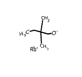 CC(C)(C)[O-].[Rb+]